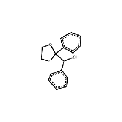 OC(c1ccccc1)C1(c2ccccc2)OCCO1